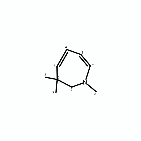 CN1C=CC=CC(C)(C)C1